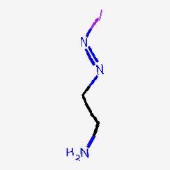 NCCN=NI